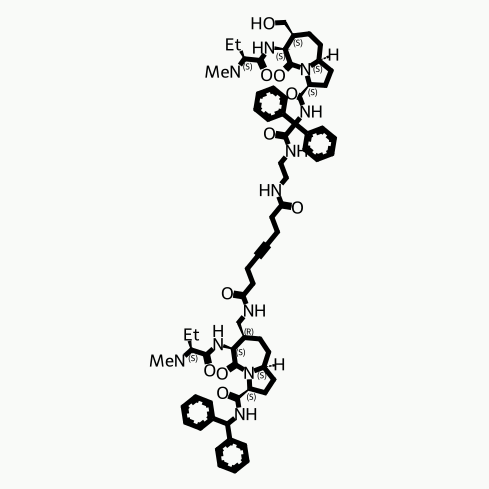 CC[C@H](NC)C(=O)N[C@@H]1C(=O)N2[C@@H](CC[C@@H]1CNC(=O)CCC#CCCC(=O)NCCNC(=O)C(NC(=O)[C@@H]1CC[C@@H]3CC[C@H](CO)[C@H](NC(=O)[C@H](CC)NC)C(=O)N31)(c1ccccc1)c1ccccc1)CC[C@H]2C(=O)NC(c1ccccc1)c1ccccc1